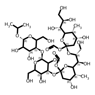 CC(C)O[C@@H]1OC(CO)[C@@H](O[C@@H]2OC(CO)[C@H](O)[C@H](O[C@]3(OC=O)C[C@@H](O)[C@@H](C)C([C@H](O)[C@@H](CO)O[C@]4(OC=O)C[C@@H](O)[C@@H](C)C([C@H](O)[C@H](O)CO)O4)O3)C2O)[C@H](O)C1O